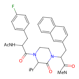 CNC(=O)C(Cc1ccc2ccccc2c1)N1CCN(C(=O)C(Cc2ccc(F)cc2)NC(C)=O)C(C(C)C)C1=O